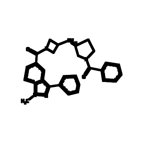 Cn1nc(-c2ccccc2)c2cc(C(=O)N3CC(N[C@H]4CCN(C(=O)c5ccccc5)C4)C3)ccc21